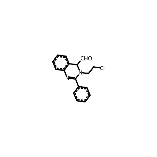 O=CC1c2ccccc2N=C(c2ccccc2)N1CCCl